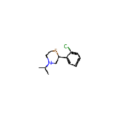 CC(C)N1CCSC(c2ccccc2Cl)C1